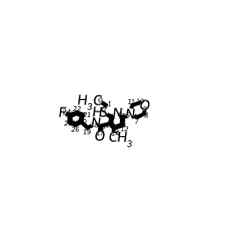 CCSc1nc(N2CCOCC2)cc(C)c1C(=O)NCc1ccc(F)cc1